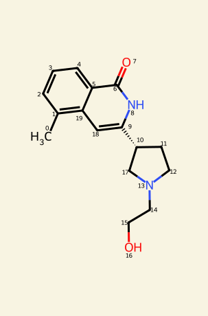 Cc1cccc2c(=O)[nH]c([C@@H]3CCN(CCO)C3)cc12